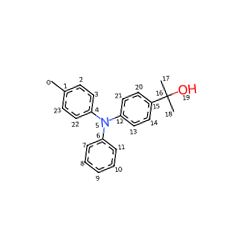 Cc1ccc(N(c2ccccc2)c2ccc(C(C)(C)O)cc2)cc1